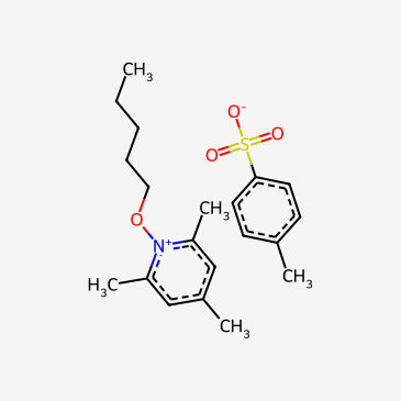 CCCCCO[n+]1c(C)cc(C)cc1C.Cc1ccc(S(=O)(=O)[O-])cc1